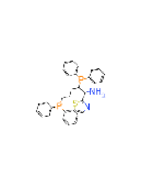 NC(c1nccs1)C(CCCP(c1ccccc1)c1ccccc1)P(c1ccccc1)c1ccccc1